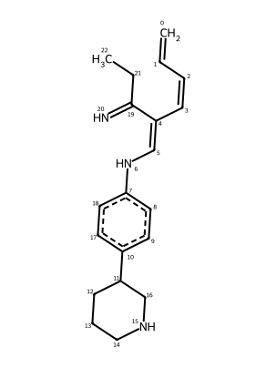 C=C/C=C\C(=C\Nc1ccc(C2CCCNC2)cc1)C(=N)CC